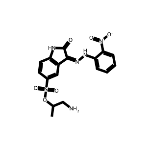 CC(CN)OS(=O)(=O)c1ccc2c(c1)C(=NNc1ccccc1[N+](=O)[O-])C(=O)N2